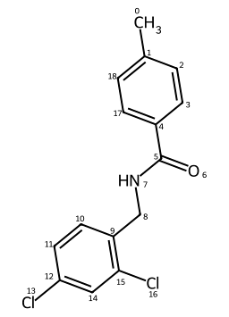 Cc1ccc(C(=O)NCc2ccc(Cl)cc2Cl)cc1